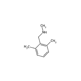 CNCc1c(C)cccc1C